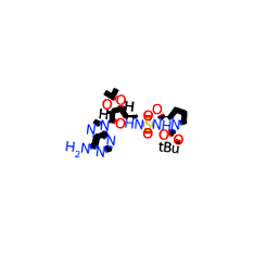 CC(C)(C)OC(=O)N1CCC[C@H]1C(=O)NS(=O)(=O)NC[C@H]1O[C@@H](n2cnc3c(N)ncnc32)[C@@H]2OC(C)(C)O[C@@H]21